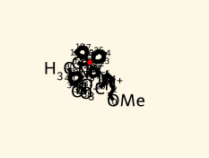 COCC[n+]1ccn([C@@H]2CC[C@H](C(C(N)=O)(c3ccccc3)c3ccccc3)C2)c1C.Cc1ccc(S(=O)(=O)[O-])cc1